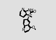 COc1ccnc2ccc([N+]3(C)C(=O)Nc4ncccc43)cc12